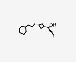 OC(C=CI)[C@H]1C[C@H](CCCC2CCCCC2)C1